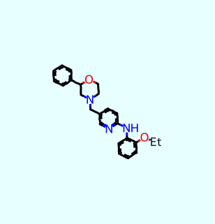 CCOc1ccccc1Nc1ccc(CN2CCOC(c3ccccc3)C2)cn1